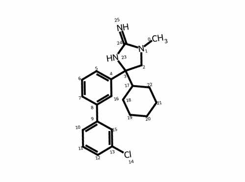 CN1CC(c2cccc(-c3cccc(Cl)c3)c2)(C2CCCCC2)NC1=N